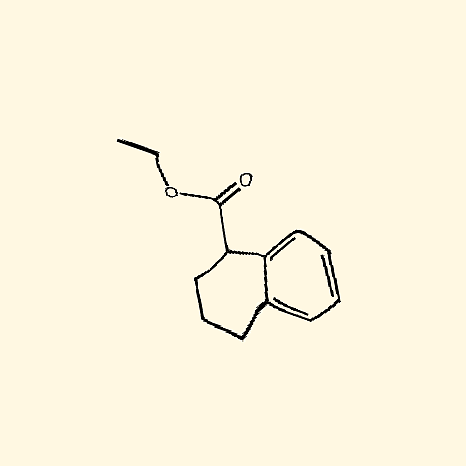 CCOC(=O)C1CCCc2ccccc21